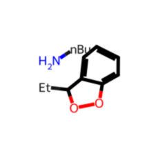 CCC1OOc2ccccc21.CCCCN